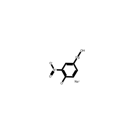 O=[N+]([O-])c1c[c]([Hg][OH])ccc1[O-].[Na+]